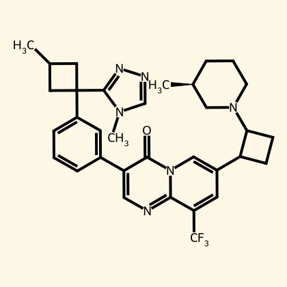 CC1CC(c2cccc(-c3cnc4c(C(F)(F)F)cc(C5CCC5N5CCC[C@H](C)C5)cn4c3=O)c2)(c2nncn2C)C1